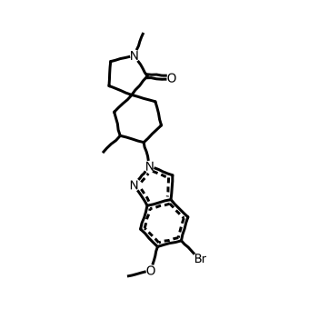 COc1cc2nn(C3CCC4(CCN(C)C4=O)CC3C)cc2cc1Br